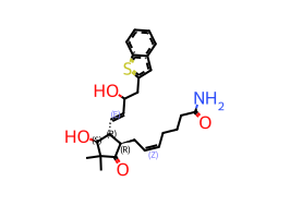 CC1(C)C(=O)[C@H](C/C=C\CCCC(N)=O)[C@@H](/C=C/C(O)Cc2cc3ccccc3s2)[C@@H]1O